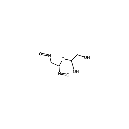 O=NCC(N=O)OC(O)CO